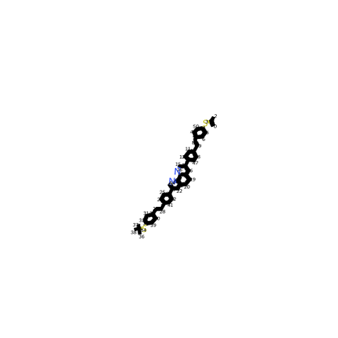 C=C(C)Sc1ccc(/C=C/c2ccc(-c3cnc4c(ccc5cc(-c6ccc(/C=C/c7ccc(SC(C)(C)C)cc7)cc6)cnc54)c3)cc2)cc1